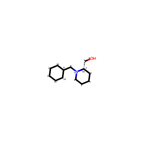 OC[C@@H]1CCCCN1CC1CCCCC1